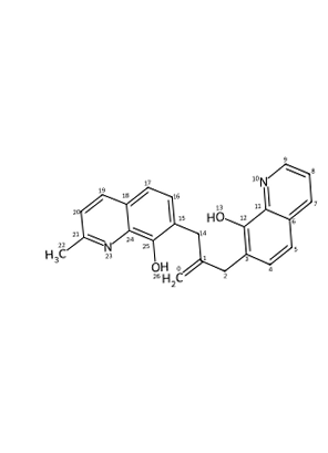 C=C(Cc1ccc2cccnc2c1O)Cc1ccc2ccc(C)nc2c1O